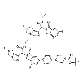 CCOC(=O)C(c1ncn2c1C[C@@H](F)C2)N1Cc2c(F)cc(-c3ccc(N4CCN(C(=O)OC(C)(C)C)CC4)cc3)cc2C1=O.CCOC(=O)C(c1ncn2c1C[C@@H](F)C2)N1Cc2c(F)cc(I)cc2C1=O